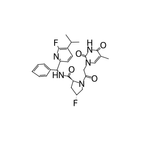 Cc1cn(CC(=O)N2C[C@H](F)C[C@H]2C(=O)N[C@@H](c2ccccc2)c2ccc(C(C)C)c(F)n2)c(=O)[nH]c1=O